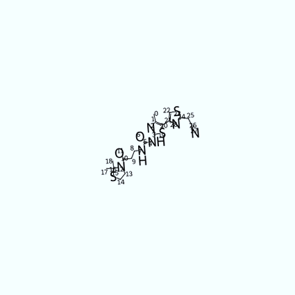 Cc1nc(NC(=O)NCCC(=O)N2CCSC2(C)C)sc1-c1csc(CC#N)n1